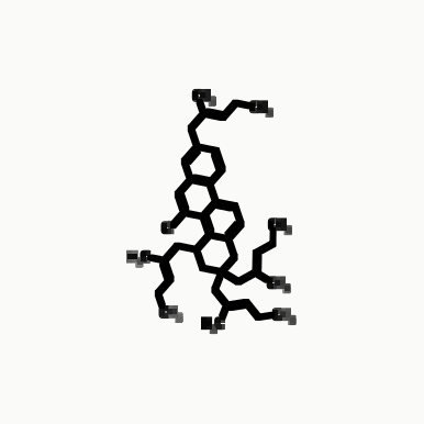 CCC=C(C)Cc1ccc2c(c1)cc(Cl)c1c3c(ccc12)CC(CC(C)=CCC)(CC(C)=CCC)CC3CC(C)=CCC